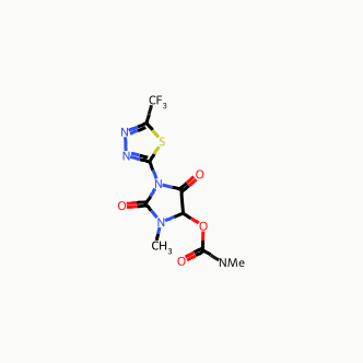 CNC(=O)OC1C(=O)N(c2nnc(C(F)(F)F)s2)C(=O)N1C